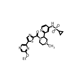 CCOc1cncc(-c2cnc(C(=O)N3CCN(C)CC3c3cc(NS(=O)(=O)C4CC4)ccn3)s2)n1